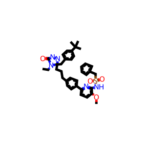 CCN1C(=O)N=NC1(CCCc1ccc(-c2ccc(OC)c(NS(=O)(=O)Cc3ccccc3)n2)cc1)Cc1ccc(C(C)(C)C)cc1